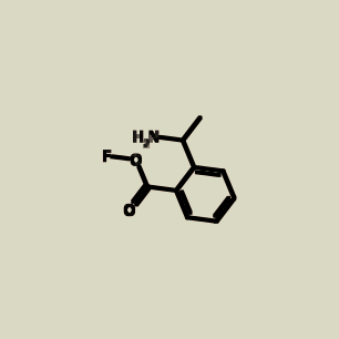 CC(N)c1ccccc1C(=O)OF